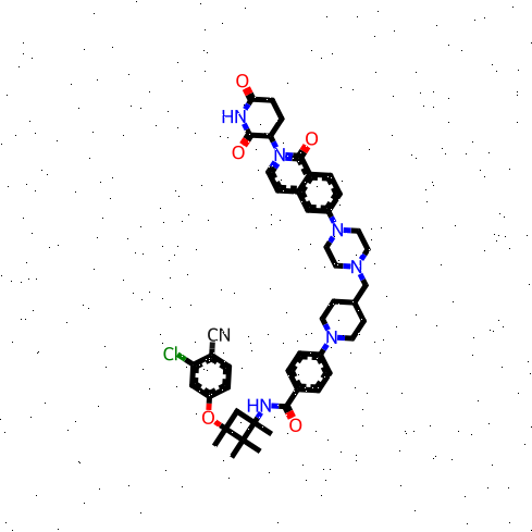 CC1(NC(=O)c2ccc(N3CCC(CN4CCN(c5ccc6c(=O)n(C7CCC(=O)NC7=O)ccc6c5)CC4)CC3)cc2)CC(C)(Oc2ccc(C#N)c(Cl)c2)C1(C)C